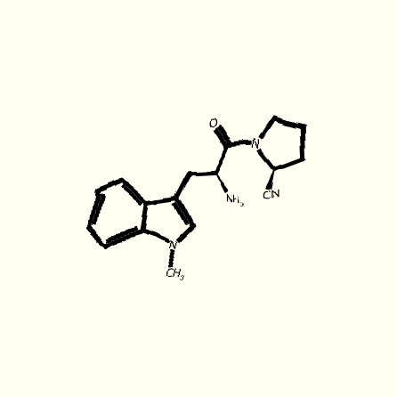 Cn1cc(C[C@H](N)C(=O)N2CCC[C@H]2C#N)c2ccccc21